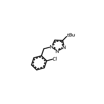 CC(C)(C)c1cn(Cc2ccccc2Cl)nn1